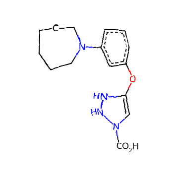 O=C(O)N1C=C(Oc2cccc(N3CCCCCC3)c2)NN1